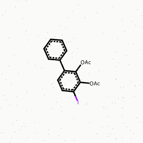 CC(=O)Oc1c(I)ccc(-c2ccccc2)c1OC(C)=O